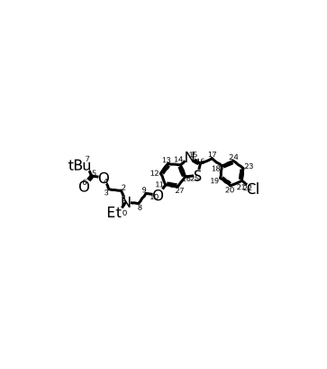 CCN(CCOC(=O)C(C)(C)C)CCOc1ccc2nc(Cc3ccc(Cl)cc3)sc2c1